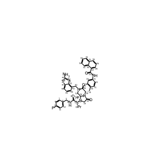 CC(C)N(C(=O)NCc1ccc(F)cc1)N1CC(=O)N2[C@@H](Cc3ccc(NC(=O)c4cccc5ccccc45)cc3)C(=O)N(Cc3cccc4sc(N)nc34)C[C@@H]21